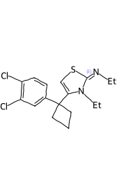 CC/N=c1/scc(C2(c3ccc(Cl)c(Cl)c3)CCC2)n1CC